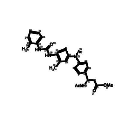 COC(=O)C[C@@H](NC(C)=O)c1ccc(N(C(C)=O)c2ccc(NC(=O)Nc3ccccc3C)c(C)c2)cc1